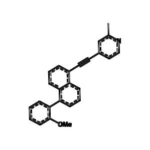 COc1ccccc1-c1cccc2c(C#Cc3ccnc(C)c3)cccc12